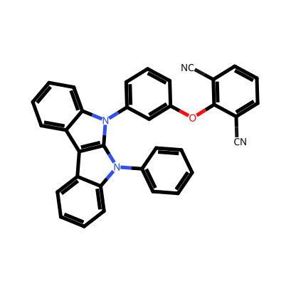 N#Cc1cccc(C#N)c1Oc1cccc(-n2c3ccccc3c3c4ccccc4n(-c4ccccc4)c32)c1